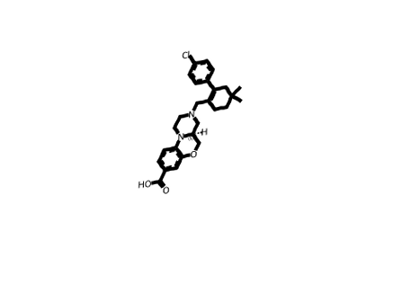 CC1(C)CCC(CN2CCN3c4ccc(C(=O)O)cc4OC[C@@H]3C2)=C(c2ccc(Cl)cc2)C1